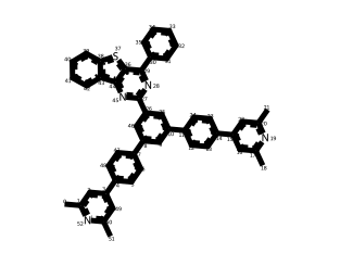 Cc1cc(-c2ccc(-c3cc(-c4ccc(-c5cc(C)nc(C)c5)cc4)cc(-c4nc(-c5ccccc5)c5sc6ccccc6c5n4)c3)cc2)cc(C)n1